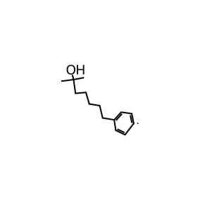 CC(C)(O)CCCCCc1cc[c]cc1